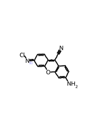 N#Cc1c2cc/c(=N\Cl)cc-2oc2cc(N)ccc12